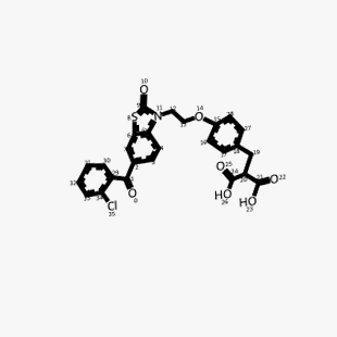 O=C(c1ccc2c(c1)sc(=O)n2CCOc1ccc(CC(C(=O)O)C(=O)O)cc1)c1ccccc1Cl